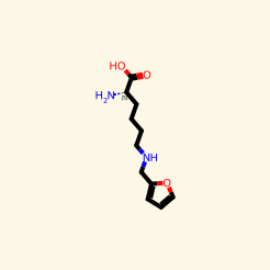 N[C@@H](CCCCNCc1ccco1)C(=O)O